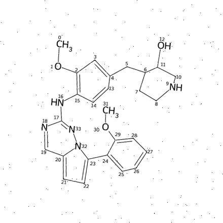 COc1cc(CC2CCNCC2O)ccc1Nc1ncc2ccc(-c3ccccc3OC)n2n1